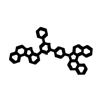 c1ccc(-c2cc(-c3cccc4c3oc3ccc5ccccc5c34)nc(-c3ccc(-n4c5ccc6ccccc6c5c5c6ccccc6ccc54)cc3)n2)cc1